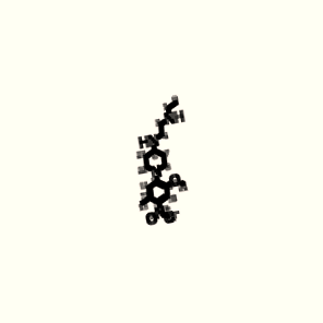 CCNCCNC1CCN(c2cc(C)c([N+](=O)[O-])cc2OC)CC1